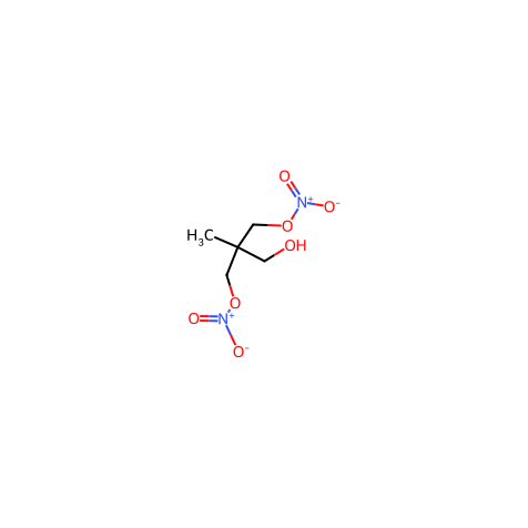 CC(CO)(CO[N+](=O)[O-])CO[N+](=O)[O-]